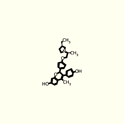 CC[C@@H]1CCN([C@@H](C)COc2ccc(C3Oc4cc(O)ccc4C(C)=C3c3ccc(O)cc3)cc2)C1